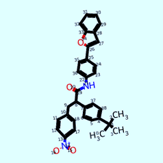 CC(C)(C)c1ccc(C(Cc2ccc([N+](=O)[O-])cc2)C(=O)Nc2ccc(-c3cc4ccccc4o3)cc2)cc1